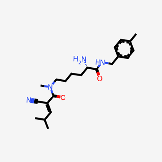 Cc1ccc(CNC(=O)[C@@H](N)CCCCN(C)C(=O)C(C#N)=CC(C)C)cc1